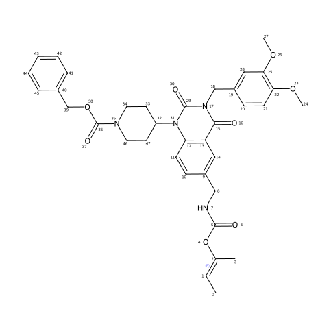 C/C=C(\C)OC(=O)NCc1ccc2c(c1)c(=O)n(Cc1ccc(OC)c(OC)c1)c(=O)n2C1CCN(C(=O)OCc2ccccc2)CC1